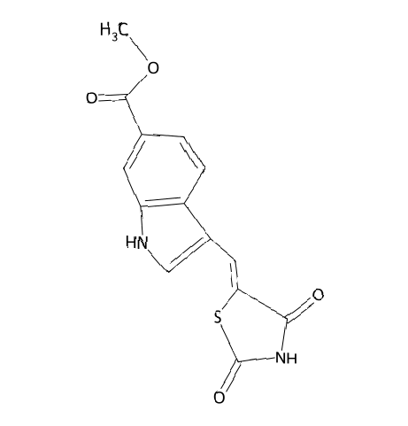 COC(=O)c1ccc2c(/C=C3\SC(=O)NC3=O)c[nH]c2c1